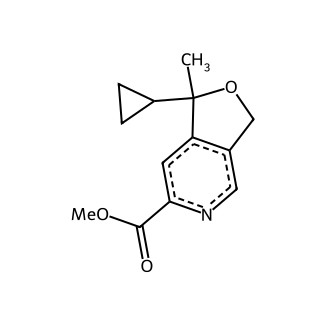 COC(=O)c1cc2c(cn1)COC2(C)C1CC1